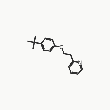 CC(C)(C)c1ccc(OCCc2ccccn2)cc1